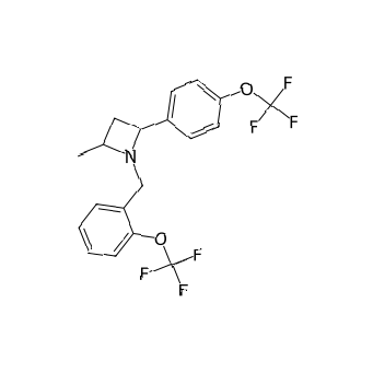 CC1CC(c2ccc(OC(F)(F)F)cc2)N1Cc1ccccc1OC(F)(F)F